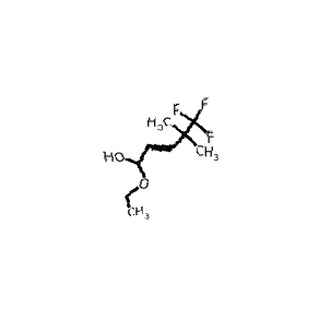 CCOC(O)/C=C/C(C)(C)C(F)(F)F